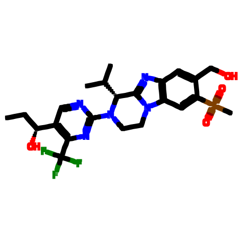 CC[C@@H](O)c1cnc(N2CCn3c(nc4cc(CO)c(S(C)(=O)=O)cc43)[C@H]2C(C)C)nc1C(F)(F)F